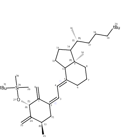 C=C1/C(=C\C=C2/CCC[C@@]3(C)C2CCC3[C@H](C)CCCC(C)(C)C)C[C@@H](C)C(=C)[C@@H]1O[Si](C)(C)C(C)(C)C